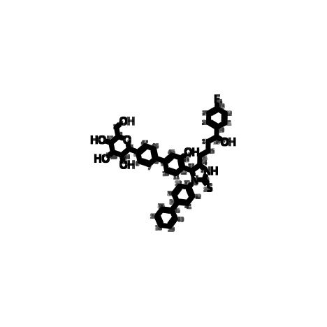 OCC1OC(c2ccc(-c3ccc(C4C(CCCC(O)c5ccc(F)cc5)NC(=S)N4c4ccc(-c5ccccc5)cc4)c(O)c3)cc2)C(O)C(O)C1O